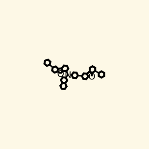 c1ccc(-c2ccc3oc4c(N(c5ccc(-c6ccc7oc8c(-c9ccccc9)cccc8c7c6)cc5)c5ccc6ccccc6c5)cccc4c3c2)cc1